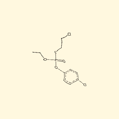 CCOP(=O)(Oc1ccc(Cl)cc1)SCCCl